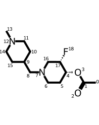 CC(=O)O[C@@H]1CCN(CC2CCN(C)CC2)C[C@@H]1F